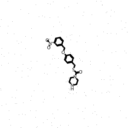 O=C(SCc1ccc(OCc2cccc([N+](=O)[O-])c2)cc1)N1CCNCC1